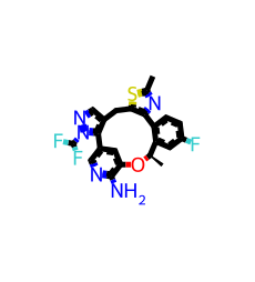 Cc1nc2c(s1)Cc1cnn(C(F)F)c1-c1cnc(N)c(c1)O[C@H](C)c1cc(F)ccc1-2